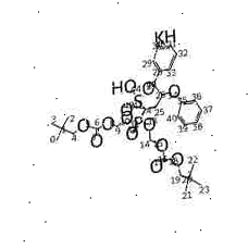 CC(C)(C)COC(=O)OCOP(=O)(OCOC(=O)OCC(C)(C)C)[C@H](CC(Cc1ccccc1)Oc1ccccc1)S(=O)(=O)O.[KH]